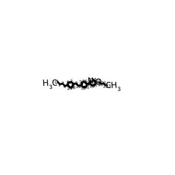 CCCCCc1ccc(CCc2ccc(-c3ccc(OCCCC)cn3)cc2)cc1